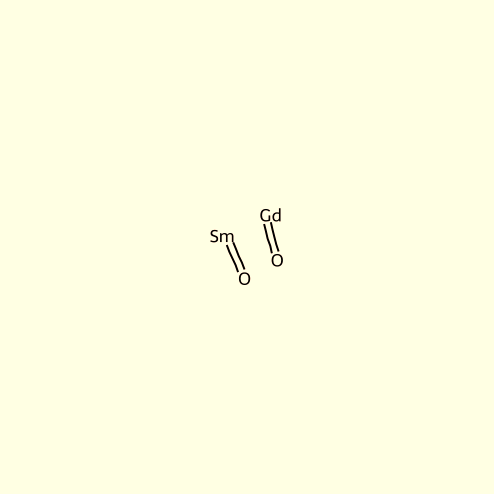 [O]=[Gd].[O]=[Sm]